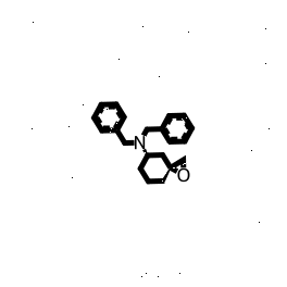 c1ccc(CN(Cc2ccccc2)[C@@H]2CCC[C@]3(CO3)C2)cc1